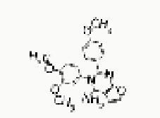 COc1ccc(C2=Nc3occc3C(N)N2c2ccc(OC)c(OC)c2)cc1